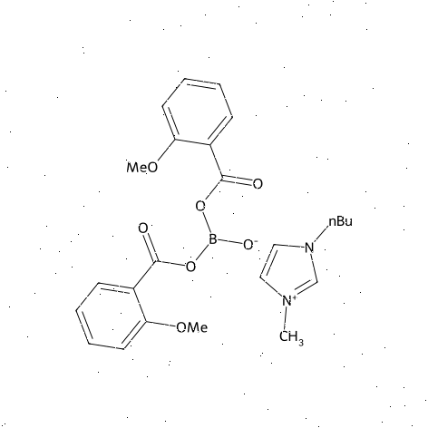 CCCCn1cc[n+](C)c1.COc1ccccc1C(=O)OB([O-])OC(=O)c1ccccc1OC